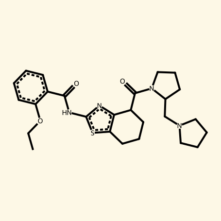 CCOc1ccccc1C(=O)Nc1nc2c(s1)CCCC2C(=O)N1CCCC1CN1CCCC1